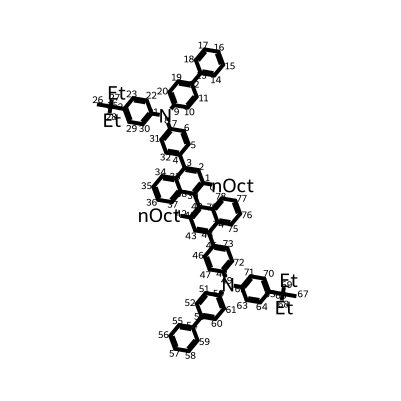 CCCCCCCCc1cc(-c2ccc(N(c3ccc(-c4ccccc4)cc3)c3ccc(C(C)(CC)CC)cc3)cc2)c2ccccc2c1-c1c(CCCCCCCC)cc(-c2ccc(N(c3ccc(-c4ccccc4)cc3)c3ccc(C(C)(CC)CC)cc3)cc2)c2ccccc12